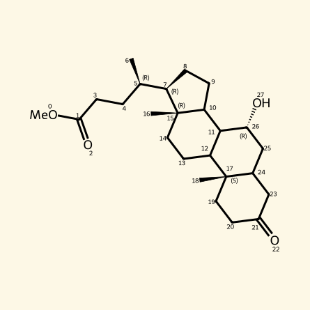 COC(=O)CC[C@@H](C)[C@H]1CCC2C3C(CC[C@@]21C)[C@@]1(C)CCC(=O)CC1C[C@H]3O